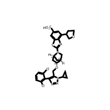 O=C(O)c1cc(C2CCOC2)c2nc(N3C[C@@H]4C[C@H]3C[C@H]4OCc3c(-c4c(Cl)cccc4Cl)nnn3C3CC3)sc2c1